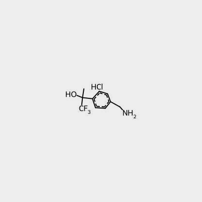 CC(O)(c1ccc(CN)cc1)C(F)(F)F.Cl